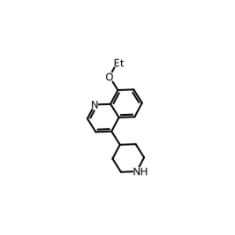 CCOc1cccc2c(C3CCNCC3)ccnc12